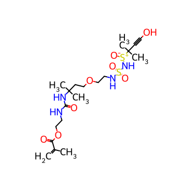 C=C(C)C(=O)OCCNC(=O)NC(C)(C)CCOCCNS(=O)(=O)N[S+]([O-])C(C)(C)C#CO